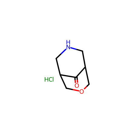 Cl.O=C1C2CNCC1COC2